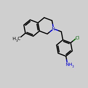 Cc1ccc2c(c1)CN(Cc1ccc(N)cc1Cl)CC2